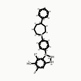 Oc1c(F)cc2c(c1F)N(c1ccc(N3CCCC(c4ccccc4)CC3)cc1)NN2